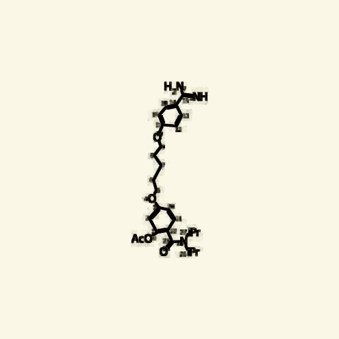 CC(=O)Oc1cc(OCCCCCOc2ccc(C(=N)N)cc2)ccc1C(=O)N(C(C)C)C(C)C